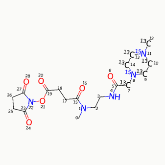 CN(CCNC(=O)[13CH2][15N]1[13CH2][13CH2][15N]([13CH3])[13CH2][13CH2]1)C(=O)CCC(=O)ON1C(=O)CCC1=O